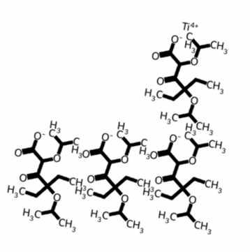 CCC(CC)(OC(C)C)C(=O)C(OC(C)C)C(=O)[O-].CCC(CC)(OC(C)C)C(=O)C(OC(C)C)C(=O)[O-].CCC(CC)(OC(C)C)C(=O)C(OC(C)C)C(=O)[O-].CCC(CC)(OC(C)C)C(=O)C(OC(C)C)C(=O)[O-].[Ti+4]